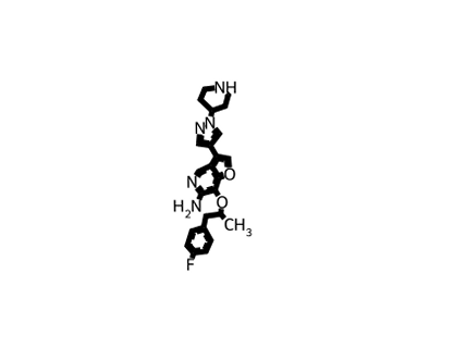 CC(Cc1ccc(F)cc1)Oc1c(N)ncc2c(-c3cnn(C4CCNCC4)c3)coc12